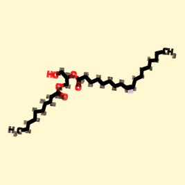 CCCCCCCC/C=C\CCCCCCCC(=O)OC(CO)COC(=O)CCCCCCCCC